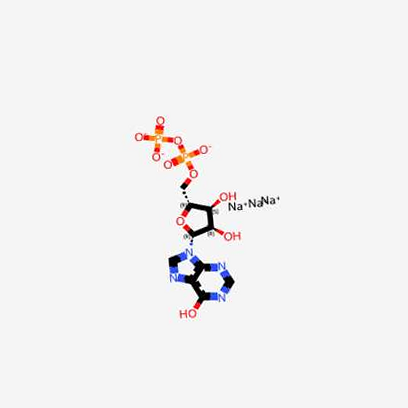 O=P([O-])([O-])OP(=O)([O-])OC[C@H]1O[C@@H](n2cnc3c(O)ncnc32)[C@H](O)[C@@H]1O.[Na+].[Na+].[Na+]